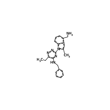 CCc1nnc(-n2c(C)cc3c(CN)cccc32)nc1NCc1ccccc1